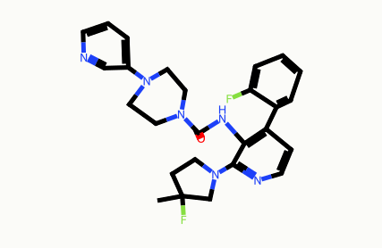 CC1(F)CCN(c2nccc(-c3ccccc3F)c2NC(=O)N2CCN(c3cccnc3)CC2)C1